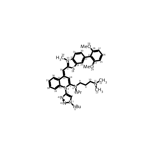 CCCCn1cc(N2C(N(CCC)CCCN(C)C)=CC(=Cc3sc4cc(-c5c(OC)cccc5OC)ccc4[n+]3C)c3ccccc32)nn1